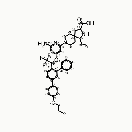 CCCOc1ccc(-c2ccc([C@@H](Oc3cc(N4CCC5(CC4)CC(C(=O)O)NC5CC)nc(N)n3)C(F)(F)F)c(-c3ccccc3)c2)cc1